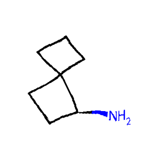 N[C@H]1CCC12CCC2